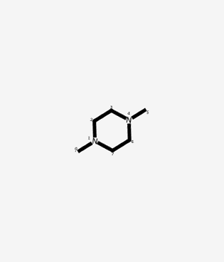 [CH2]N1CCN(C)CC1